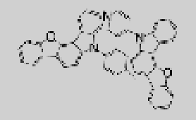 Cc1ccc(-n2c3ccccc3c3c4oc5ccccc5c4ccc32)c(-c2cnccc2-n2c3ccccc3c3c4oc5ccccc5c4ccc32)c1